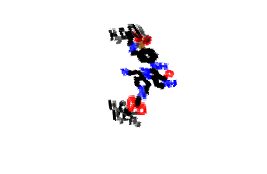 CC(C)CN1Cc2cc(Nc3nn(C4(CC#N)CCN(C(=O)OC(C)(C)C)CC4)c4cc[nH]c(=O)c34)ccc2S1(=O)=O